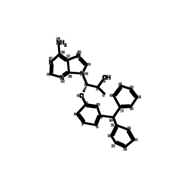 CC(O)[C@H](Oc1cccc(C(c2ccccc2)c2ccccc2)c1)n1cnc2c(N)ncnc21